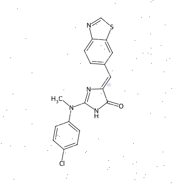 CN(C1=N/C(=C\c2ccc3ncsc3c2)C(=O)N1)c1ccc(Cl)cc1